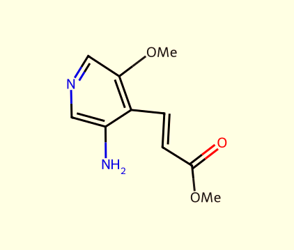 COC(=O)C=Cc1c(N)cncc1OC